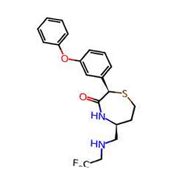 O=C1N[C@H](CNCC(F)(F)F)CCS[C@@H]1c1cccc(Oc2ccccc2)c1